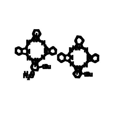 CC(C)(C)c1cccc2c3nc4nc(nc5[nH]c(nc6nc(nc([nH]3)c12)-c1ccccc1-6)c1ccccc51)-c1ccccc1-4.CC(C)(C)c1cccc2c3nc4nc(nc5[nH]c(nc6nc(nc([nH]3)c12)-c1ccccc1-6)c1ccccc51)-c1ccccc1-4.O.O